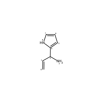 C=CC(N)c1ccc[nH]1